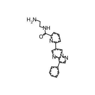 NCCNC(=O)c1cccc(-c2cnc3c(-c4ccccc4)cnn3c2)n1